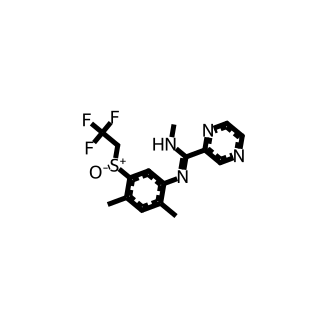 CN/C(=N\c1cc([S+]([O-])CC(F)(F)F)c(C)cc1C)c1cnccn1